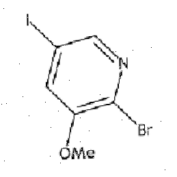 COc1cc(I)cnc1Br